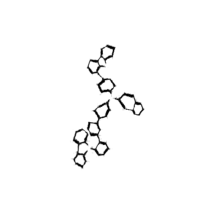 c1cc(-c2ccc(N(c3ccc(-c4cccc5c4oc4ccccc45)cc3)c3ccc4ccccc4c3)cc2)cc(-c2ccccc2-n2c3ccccc3c3ccccc32)c1